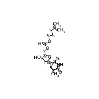 Cc1cn([C@H]2CC(O)[C@@H](COP(S)OCCCN(C)C)O2)c(=O)[nH]c1=O